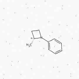 C[C@@H]1CCN1c1cc[c]cc1